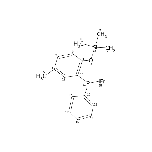 Cc1ccc(O[Si](C)(C)C)c(P(c2ccccc2)C(C)C)c1